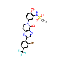 CS(=O)(=O)Nc1cc(N2CCc3nc(-c4ccc(C(F)(F)F)cc4Br)cnc3C2=O)ccc1O